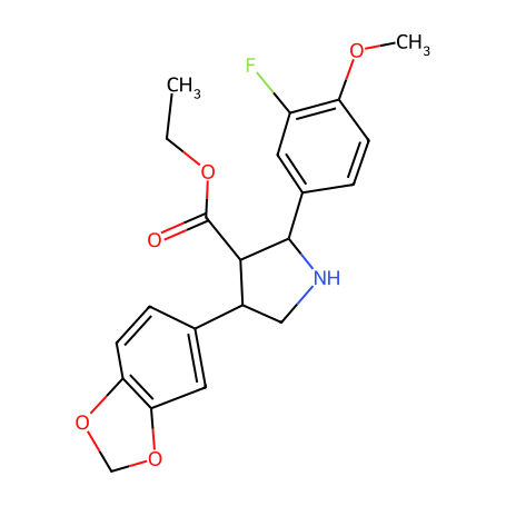 CCOC(=O)C1C(c2ccc3c(c2)OCO3)CNC1c1ccc(OC)c(F)c1